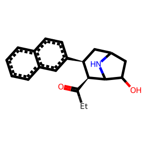 CCC(=O)[C@@H]1C2NC(CC2O)C[C@@H]1c1ccc2ccccc2c1